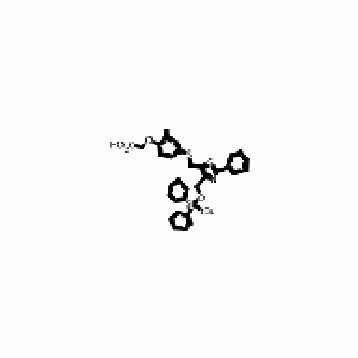 Cc1cc(SCc2sc(-c3ccccc3)nc2CO[Si](c2ccccc2)(c2ccccc2)C(C)(C)C)ccc1OCC(=O)O